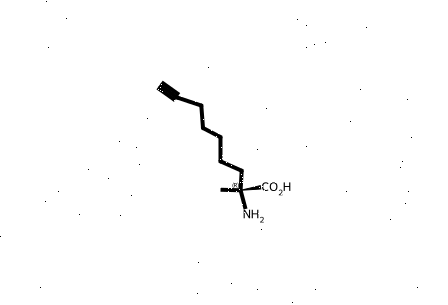 C#CCCCCC[C@@](C)(N)C(=O)O